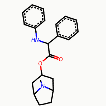 CN1C2CCC1CC(OC(=O)C(Nc1ccccc1)c1ccccc1)C2